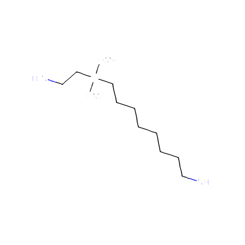 CO[Si](CCN)(CCCCCCCCN)OC